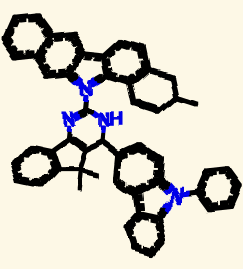 CC1C=Cc2c(ccc3c4cc5ccccc5cc4n(C4=NC5=C(C(c6ccc7c(c6)c6ccccc6n7-c6ccccc6)N4)C(C)(C)c4ccccc45)c23)C1